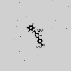 COC(=O)N1CCC(C(=O)N[C@@H](CC(=O)O)C(=O)COc2c(F)c(F)cc(F)c2F)CC1